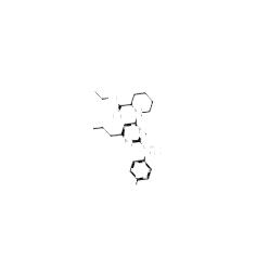 CCCc1cc(N2CCCCC2C(=O)OCC)nc(Nc2ccc(F)cc2)n1